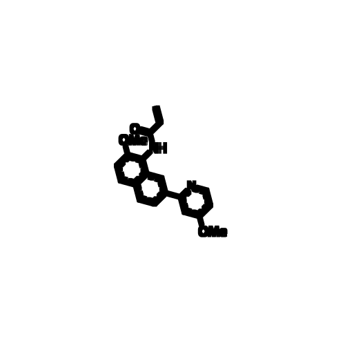 C=CC(=O)Nc1c(OC)ccc2ccc(-c3cc(OC)ccn3)cc12